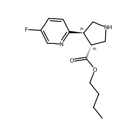 CCCCOC(=O)[C@H]1CNC[C@@H]1c1ccc(F)cn1